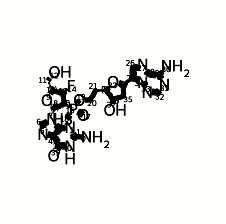 Nc1nc2c(ncn2[C@@H]2O[C@H](CO)[C@@H](F)[C@H]2P(=O)(S)OCC[C@H]2O[C@@H](c3cnc4c(N)ncnn34)C[C@@H]2O)c(=O)[nH]1